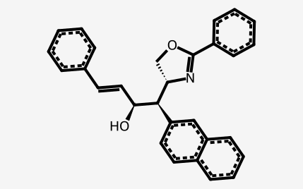 O[C@@H](/C=C/c1ccccc1)[C@H](c1ccc2ccccc2c1)[C@@H]1COC(c2ccccc2)=N1